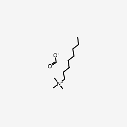 CCCCCCCC[N+](C)(C)C.O=C[O-]